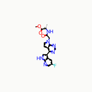 COC(=O)[C@H](C)NC(=O)Cn1ccc2c(-c3c[nH]c4ncc(F)cc34)ncnc21